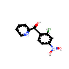 O=C(c1ccccn1)c1ccc([N+](=O)[O-])cc1Cl